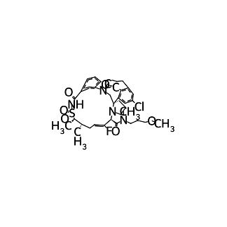 COCCCN(C)C(=O)[C@H]1/C(F)=C/C[C@H](C)[C@@H](C)S(=O)(=O)NC(=O)c2ccc3c(c2)N2CCCCc4cc(Cl)cc(c4CO3)[C@]3(CCCN13)C2